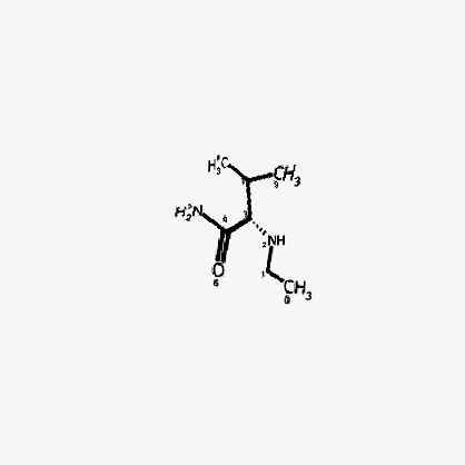 CCN[C@H](C(N)=O)C(C)C